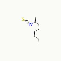 C=C(/C=C\C=C/CC)N=C=S